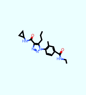 CCCc1c(C(=O)NC2CC2)nnn1-c1ccc(C(=O)NCC)cc1C